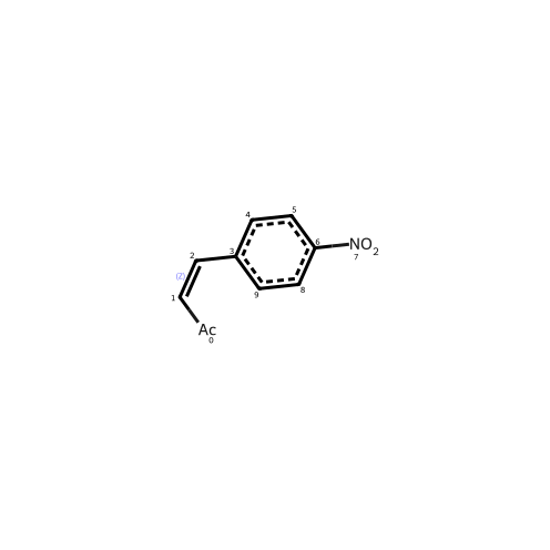 CC(=O)/C=C\c1ccc([N+](=O)[O-])cc1